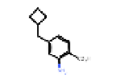 Nc1cc(CC2CCC2)ccc1C(=O)O